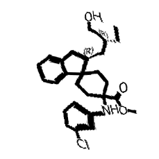 CC[C@@H](CO)C[C@@H]1Cc2ccccc2C12CCC(Nc1cccc(Cl)c1)(C(=O)OC)CC2